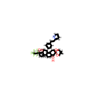 CC1(C)COC2(CCC3=C4[C@@H](CC[C@@]3(O)C2)[C@@H]2CC[C@@](O)(C(F)(F)C(F)(F)F)[C@@]2(C)C[C@@H]4c2ccc(C=Cc3ccccn3)cc2)OC1